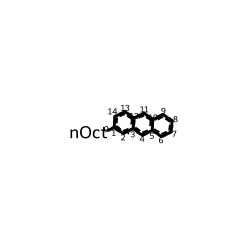 CCCCCCCCc1[c]c2cc3ccccc3cc2cc1